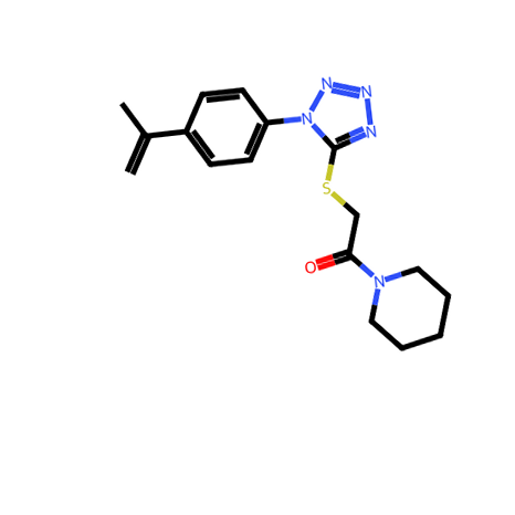 C=C(C)c1ccc(-n2nnnc2SCC(=O)N2CCCCC2)cc1